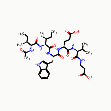 CC[C@H](C)[C@H](NC(C)=O)C(=O)N[C@H](C(=O)N[C@@H](Cc1c[nH]c2ccccc12)C(=O)N[C@@H](CCC(=O)O)C(=O)N[C@H](C(=O)NCCC(=O)O)C(C)C)[C@@H](C)CC